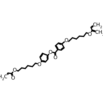 C=CC(=C)OCCCCCCOc1ccc(C(=O)Oc2ccc(OCCCCCCOC(=O)C=C)cc2)cc1